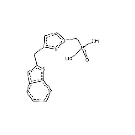 O=P(O)(O)Cc1ccc(Cc2cc3ccccc3s2)s1